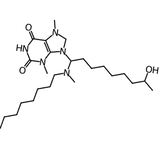 CCCCCCCCN(C)C(CCCCCCC(C)O)N1CN(C)c2c1n(C)c(=O)[nH]c2=O